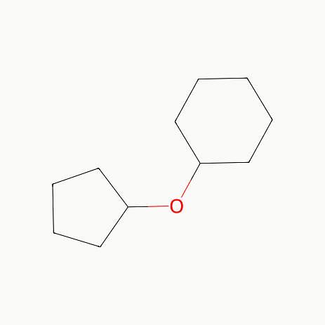 C1CCC(OC2CCCC2)CC1